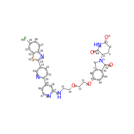 O=C1CCC(N2Cc3cc(OCCOCCNc4cc(-c5ccc(-c6nc7ccc(F)cc7s6)cn5)ccn4)ccc3C2=O)C(=O)N1